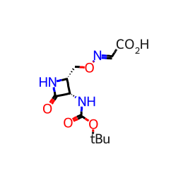 CC(C)(C)OC(=O)N[C@@H]1C(=O)N[C@@H]1CON=CC(=O)O